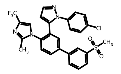 Cc1nc(C(F)(F)F)cn1-c1ccc(-c2cccc(S(C)(=O)=O)c2)cc1-c1ccnn1-c1ccc(Cl)cc1